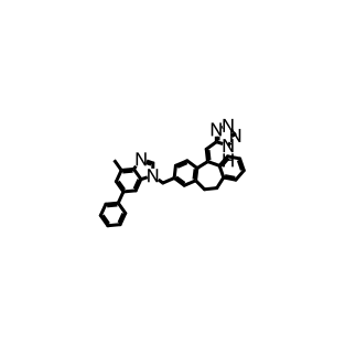 Cc1cc(-c2ccccc2)cc2c1ncn2Cc1ccc2c(c1)CCc1ccccc1C2=Cc1nnn[nH]1